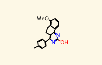 COc1cccc2c1CCc1c(-c3ccc(C)cc3)nc(O)nc1-2